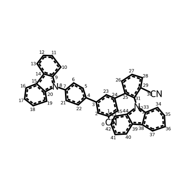 N#Cc1cc(-c2ccc(-n3c4ccccc4c4ccccc43)cc2)cc(-c2cccc(C#N)c2-n2c3ccccc3c3ccccc32)c1